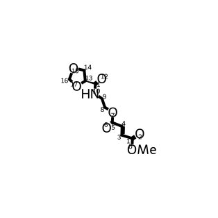 COC(=O)/C=C/C(=O)OCCNC(=O)[C@@H]1COCO1